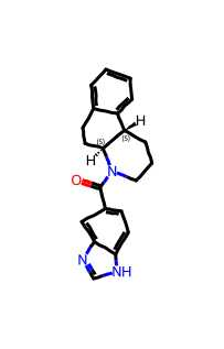 O=C(c1ccc2[nH]cnc2c1)N1CCC[C@H]2c3ccccc3CC[C@@H]21